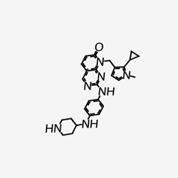 Cn1ccc(Cn2c(=O)ccc3cnc(Nc4ccc(NC5CCNCC5)cc4)nc32)c1C1CC1